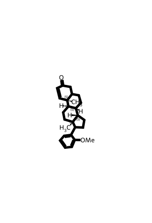 COc1ccccc1C1CC[C@H]2[C@@H]3CCC4CC(=O)C=C[C@]4(C)[C@@H]3CC[C@]12C